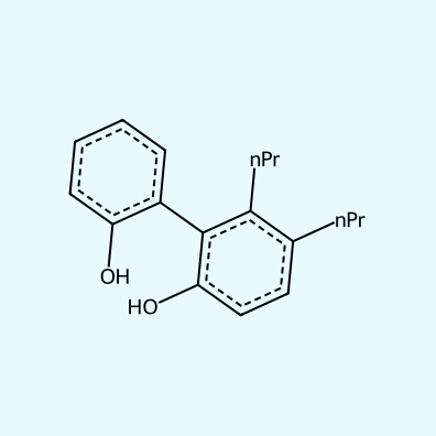 CCCc1ccc(O)c(-c2ccccc2O)c1CCC